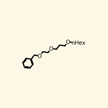 CCCCCCOCCCOCCOCc1ccccc1